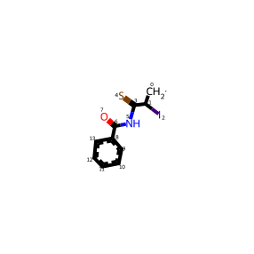 [CH2]C(I)C(=S)NC(=O)c1ccccc1